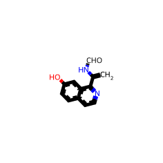 C=C(NC=O)c1nccc2ccc(O)cc12